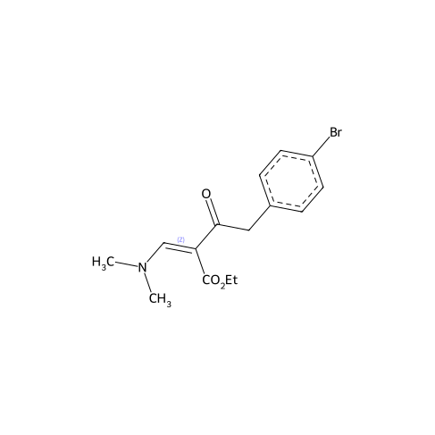 CCOC(=O)/C(=C\N(C)C)C(=O)Cc1ccc(Br)cc1